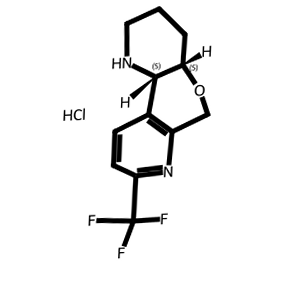 Cl.FC(F)(F)c1ccc2c(n1)CO[C@H]1CCCN[C@@H]21